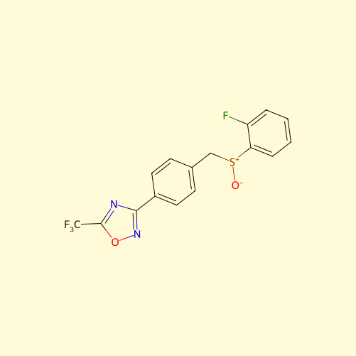 [O-][S+](Cc1ccc(-c2noc(C(F)(F)F)n2)cc1)c1ccccc1F